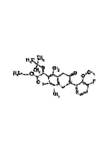 CCOC(=O)[C@@H](OC(C)(C)C)c1c(C)c2c(c(C)c1I)CN(c1cccc(F)c1OC)C(=O)C2